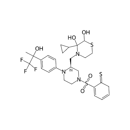 CC(O)(c1ccc(N2CCN(S(=O)(=O)C3=CC=CCC3=S)C[C@@H]2CN2CCSC(O)C2(O)C2CC2)cc1)C(F)(F)F